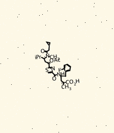 CC(=O)O[C@H](CC(C(C)C)N(C)C(=O)CC1CC1)c1nc(C(=O)N[C@@H](Cc2ccccc2F)C[C@H](C)C(=O)O)cs1